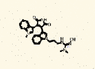 CN(C)/C(=N/C#N)NCCCn1cc(C2=C(c3cn(C)c4ccccc34)C(=O)NC2=O)c2ccccc21